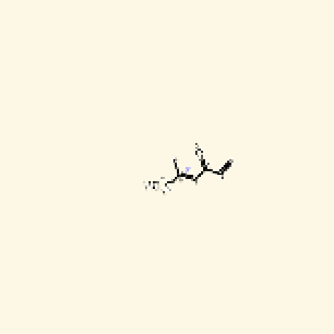 C=CC(=O)/C=C(\C)C(=O)O